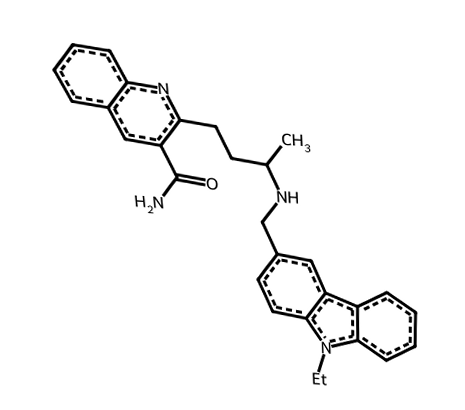 CCn1c2ccccc2c2cc(CNC(C)CCc3nc4ccccc4cc3C(N)=O)ccc21